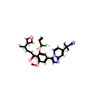 C=CC(F)Oc1cc(-c2cnc3cc(C(C)(C)C#N)ccn23)cc(OC)c1C(=O)CCC(C)C1COC1